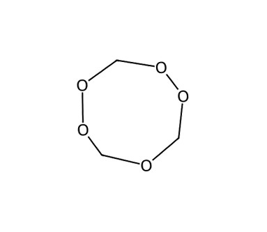 C1OCOOCOO1